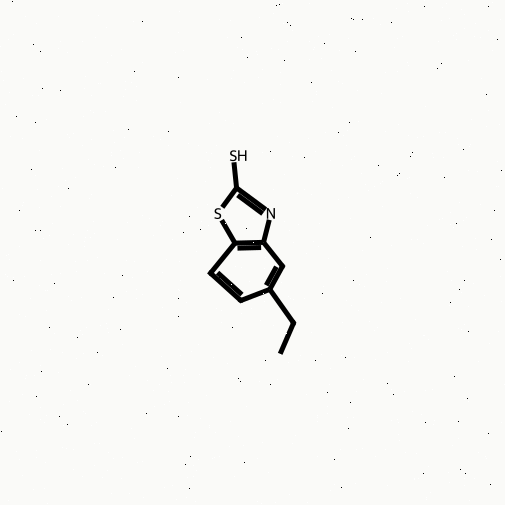 CCc1ccc2sc(S)nc2c1